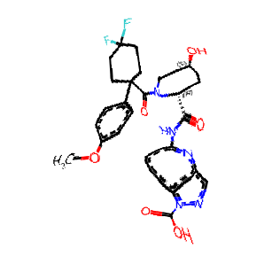 COc1ccc(C2(C(=O)N3C[C@@H](O)C[C@@H]3C(=O)Nc3ccc4c(cnn4C(=O)O)n3)CCC(F)(F)CC2)cc1